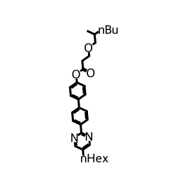 CCCCCCc1cnc(-c2ccc(-c3ccc(OC(=O)CCOCC(C)CCCC)cc3)cc2)nc1